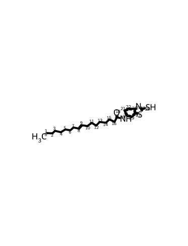 CCCCCCCCC=CCCCCCCCC(=O)Nc1ccc2nc(S)sc2c1